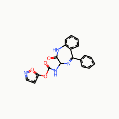 O=C(NC1N=C(c2ccccc2)c2ccccc2NC1=O)Oc1ccno1